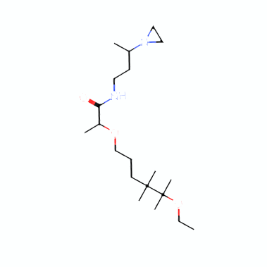 CCOC(C)(C)C(C)(C)CCCOC(C)C(=O)NCCC(C)N1CC1